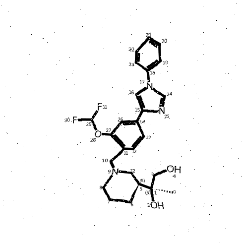 C[C@@](O)(CO)[C@H]1CCCN(Cc2ccc(-c3cn(-c4ccccc4)cn3)cc2OC(F)F)C1